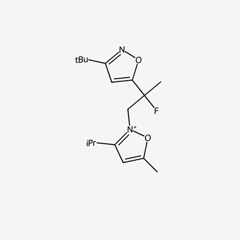 Cc1cc(C(C)C)[n+](CC(C)(F)c2cc(C(C)(C)C)no2)o1